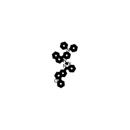 c1ccc(N(c2ccccc2)c2ccc3c(c2)c2c4ccccc4ccc2n3-c2nc(-c3ccc4c(ccc5oc6ccccc6c54)c3)c3ccccc3n2)cc1